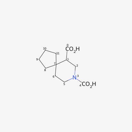 O=C(O)C1CN(C(=O)O)CCC12CCCC2